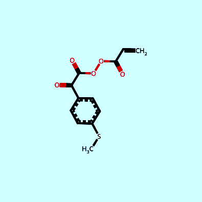 C=CC(=O)OOC(=O)C(=O)c1ccc(SC)cc1